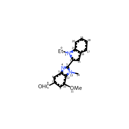 CCn1c(-c2nc3cc(C=O)cc(OC)c3n2C)cc2ccccc21